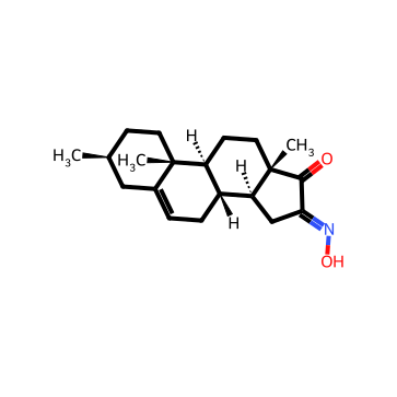 C[C@H]1CC[C@@]2(C)C(=CC[C@@H]3[C@@H]2CC[C@]2(C)C(=O)C(=NO)C[C@@H]32)C1